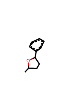 CC1CCC(c2ccccc2)O1